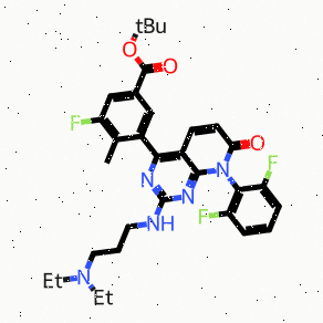 CCN(CC)CCCNc1nc(-c2cc(C(=O)OC(C)(C)C)cc(F)c2C)c2ccc(=O)n(-c3c(F)cccc3F)c2n1